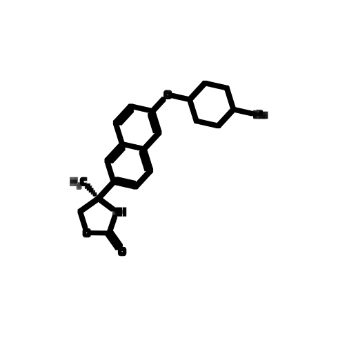 CC(C)(C)C1CCC(Oc2ccc3cc([C@]4(C)COC(=O)N4)ccc3c2)CC1